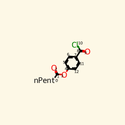 CCCCCC(=O)Oc1ccc(C(=O)Cl)cc1